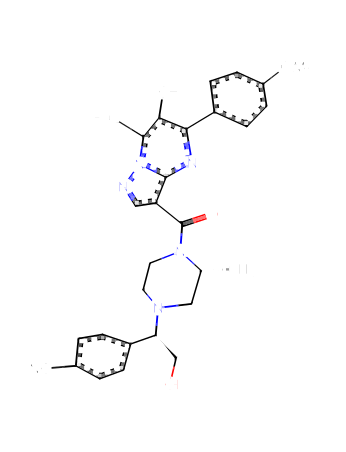 COc1ccc(-c2nc3c(C(=O)N4CCN([C@@H](CO)c5ccc(C#N)cc5)C[C@H]4C)cnn3c(C(F)(F)F)c2C)cc1